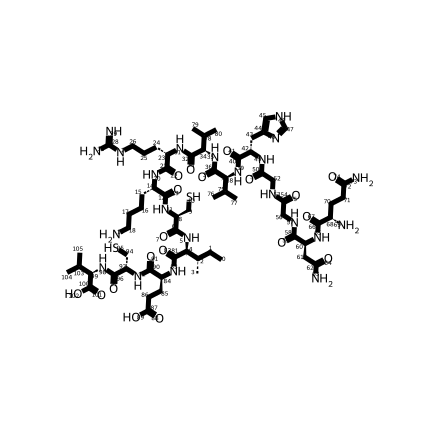 CC[C@H](C)[C@H](NC(=O)[C@H](CS)NC(=O)[C@H](CCCCN)NC(=O)[C@H](CCCNC(=N)N)NC(=O)[C@@H](NC(=O)[C@@H](NC(=O)[C@H](Cc1c[nH]cn1)NC(=O)CNC(=O)CNC(=O)[C@H](CC(N)=O)NC(=O)[C@@H](N)CCC(N)=O)C(C)C)C(C)C)C(=O)N[C@@H](CCC(=O)O)C(=O)N[C@@H](CS)C(=O)N[C@H](C(=O)O)C(C)C